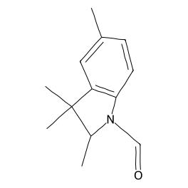 Cc1ccc2c(c1)C(C)(C)C(C)N2C=O